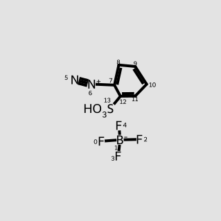 F[B-](F)(F)F.N#[N+]c1ccccc1S(=O)(=O)O